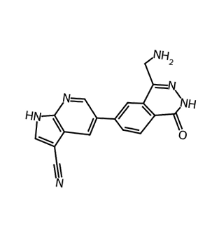 N#Cc1c[nH]c2ncc(-c3ccc4c(=O)[nH]nc(CN)c4c3)cc12